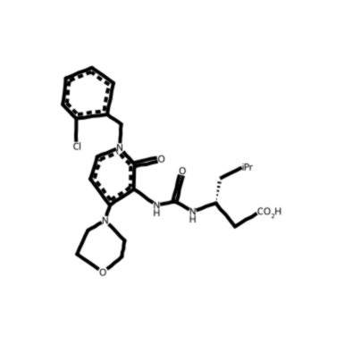 CC(C)C[C@H](CC(=O)O)NC(=O)Nc1c(N2CCOCC2)ccn(Cc2ccccc2Cl)c1=O